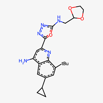 CC(C)(C)c1cc(C2CC2)cc2c(N)cc(-c3nnc(NCC4OCCO4)o3)nc12